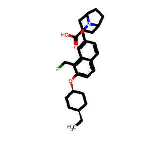 CC[C@H]1CC[C@@H](Oc2ccc3ccc(CN4C5CCC4CC(C(=O)O)C5)cc3c2CF)CC1